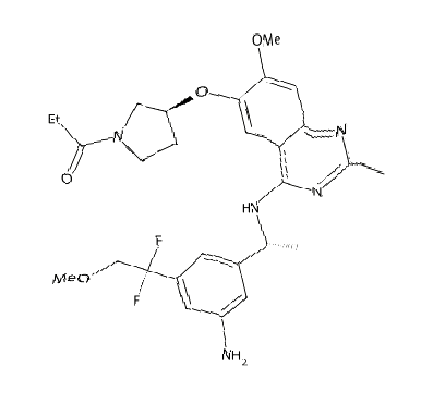 CCC(=O)N1CC[C@H](Oc2cc3c(N[C@H](C)c4cc(N)cc(C(F)(F)COC)c4)nc(C)nc3cc2OC)C1